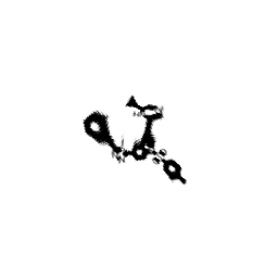 Cc1ccc(S(=O)(=O)n2cc(C3=CN=CC(C4CC4)N3)c3cc(-c4nnc(-c5ccccc5)s4)ccc32)cc1